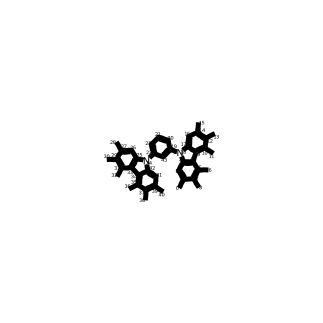 Cc1cc2c(c(C)c1C)c1c(C)c(C)c(C)cc1n2-c1cccc(-n2c3cc(C)c(C)c(C)c3c3c(C)c(C)c(C)cc32)c1